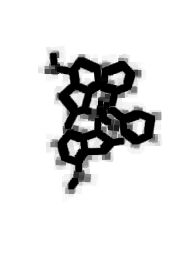 COc1cccc2c1C=C(C)[CH]2[Zr]([Cl])([Cl])([CH]1C(C)=Cc2c(OC)cccc21)=[Si](c1ccccc1)c1ccccc1